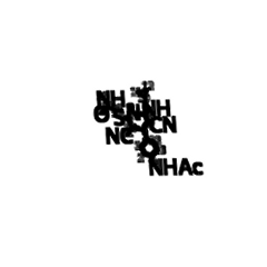 CC(=O)Nc1ccc(-c2c(C#N)c(NC3CC3)nc(SCC(N)=O)c2C#N)cc1